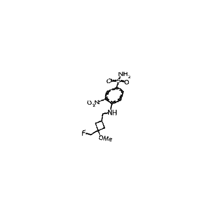 COC1(CF)CC(CNc2ccc(S(N)(=O)=O)cc2[N+](=O)[O-])C1